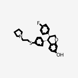 Oc1ccc2c(c1)OC[C@@H](c1ccc(F)cc1)[C@H]2c1ccc(SCCN2CCCC2)cc1